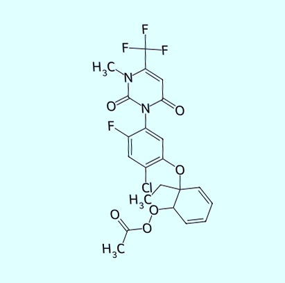 CCC1(Oc2cc(-n3c(=O)cc(C(F)(F)F)n(C)c3=O)c(F)cc2Cl)C=CC=CC1OOC(C)=O